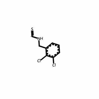 S=[C]NCc1cccc(Cl)c1Cl